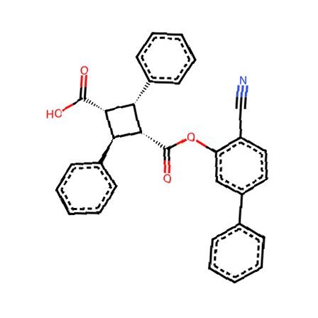 N#Cc1ccc(-c2ccccc2)cc1OC(=O)[C@H]1[C@@H](c2ccccc2)[C@@H](C(=O)O)[C@@H]1c1ccccc1